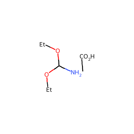 CC(=O)O.CCOC(N)OCC